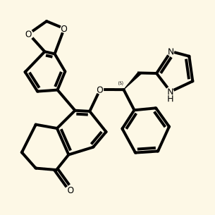 O=C1CCCc2c1ccc(O[C@@H](Cc1ncc[nH]1)c1ccccc1)c2-c1ccc2c(c1)OCO2